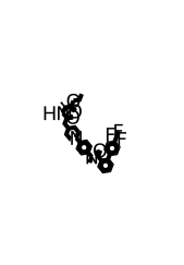 CCOC(=O)[C@H](C)NC(=O)CC1CCN(c2ccc(N(C)C(=O)c3ccccc3-c3ccc(C(F)(F)F)cc3)cc2)CC1